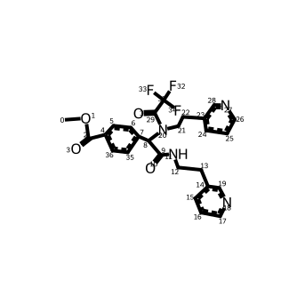 COC(=O)c1ccc(C(C(=O)NCCc2cccnc2)N(CCc2cccnc2)C(=O)C(F)(F)F)cc1